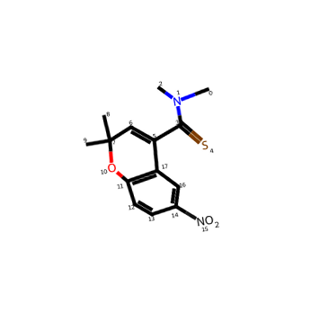 CN(C)C(=S)C1=CC(C)(C)Oc2ccc([N+](=O)[O-])cc21